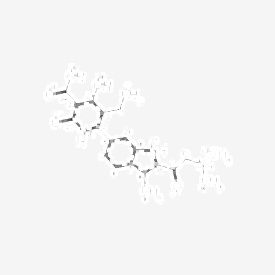 CCc1c(-c2ccc3c(C)c(C(=O)CN(C)C)[nH]c3c2)[nH]c(=O)c(C(=O)O)c1O